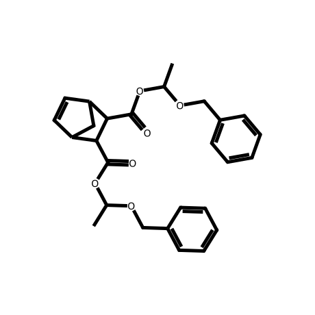 CC(OCc1ccccc1)OC(=O)C1C2C=CC(C2)C1C(=O)OC(C)OCc1ccccc1